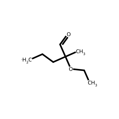 [CH2]CCC(C)(C=O)OCC